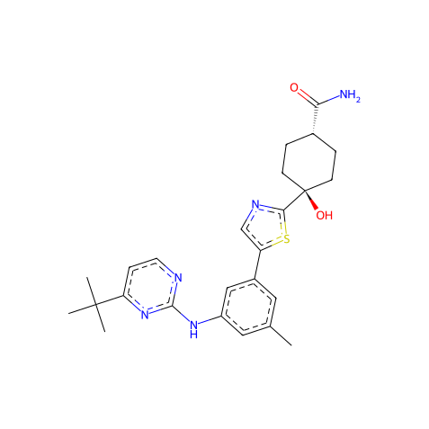 Cc1cc(Nc2nccc(C(C)(C)C)n2)cc(-c2cnc([C@]3(O)CC[C@H](C(N)=O)CC3)s2)c1